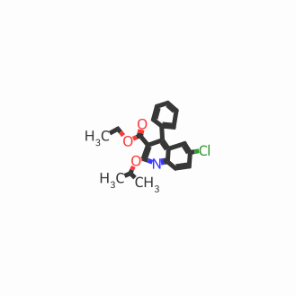 CCOC(=O)c1c(OC(C)C)nc2ccc(Cl)cc2c1-c1ccccc1